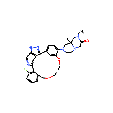 CN1C[C@H]2CN(c3ccc4cc3OCCCOCc3cccc(F)c3-c3cc5c-4n[nH]c5cn3)CCN2CC1=O